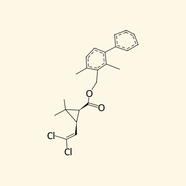 Cc1ccc(-c2ccccc2)c(C)c1COC(=O)[C@H]1[C@@H](C=C(Cl)Cl)C1(C)C